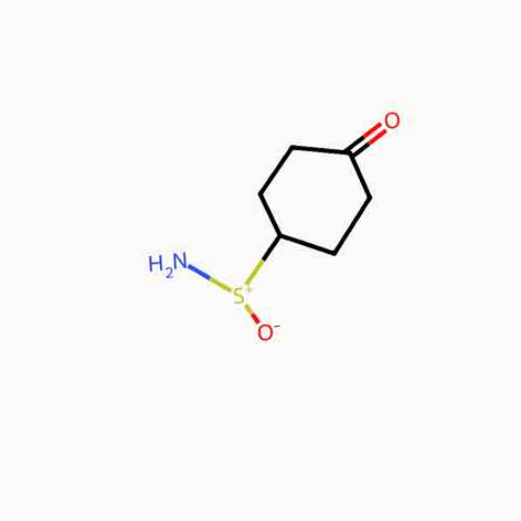 N[S+]([O-])C1CCC(=O)CC1